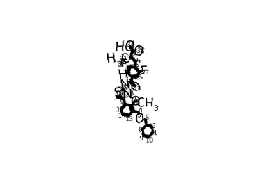 COc1c(COCC2CCCCC2)cccc1-c1csc(NC(=O)c2cc(F)c(C=C(C)C(=O)O)c(F)c2)n1